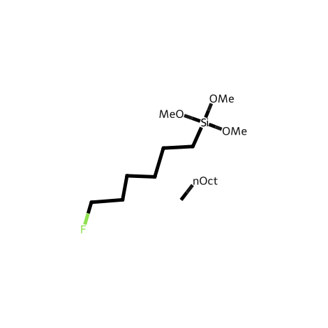 CCCCCCCCC.CO[Si](CCCCCCF)(OC)OC